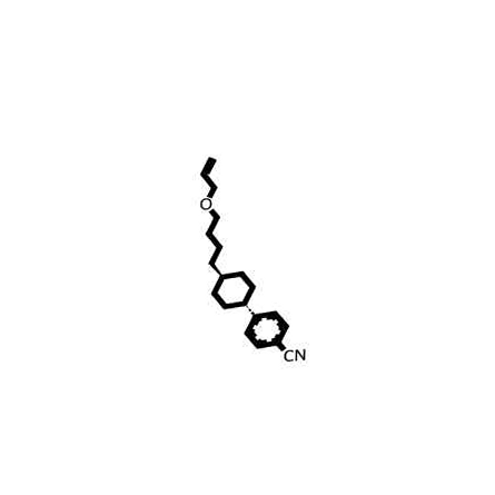 C=CCOCCCC[C@H]1CC[C@H](c2ccc(C#N)cc2)CC1